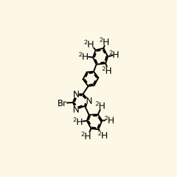 [2H]c1c([2H])c([2H])c(-c2ccc(-c3nc(Br)nc(-c4c([2H])c([2H])c([2H])c([2H])c4[2H])n3)cc2)c([2H])c1[2H]